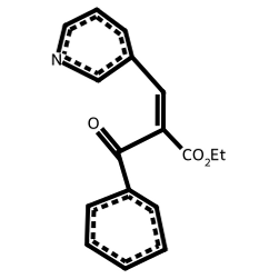 CCOC(=O)C(=Cc1cccnc1)C(=O)c1ccccc1